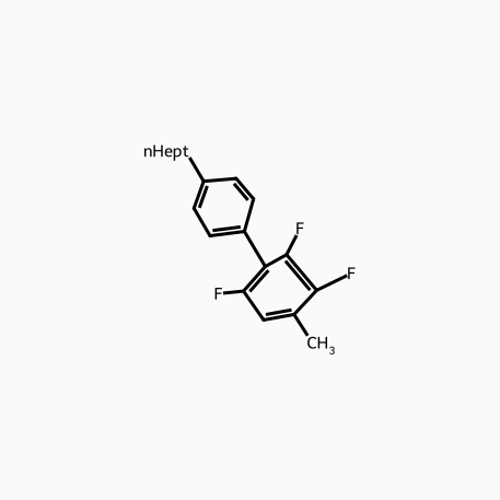 CCCCCCCc1ccc(-c2c(F)cc(C)c(F)c2F)cc1